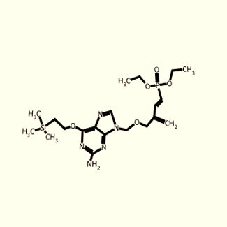 C=C(/C=C/P(=O)(OCC)OCC)COCn1cnc2c(OCC[Si](C)(C)C)nc(N)nc21